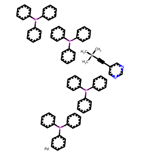 C[Si](C)(C)C#Cc1cncnc1.[Pd].c1ccc(P(c2ccccc2)c2ccccc2)cc1.c1ccc(P(c2ccccc2)c2ccccc2)cc1.c1ccc(P(c2ccccc2)c2ccccc2)cc1.c1ccc(P(c2ccccc2)c2ccccc2)cc1